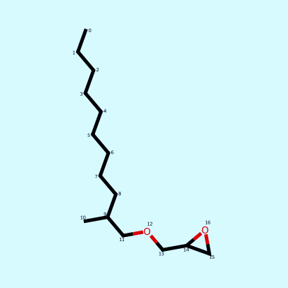 CCCCCCCCCC(C)COCC1CO1